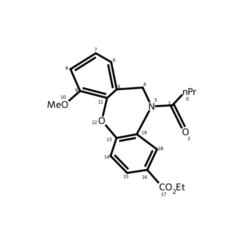 CCCC(=O)N1Cc2cccc(OC)c2Oc2ccc(C(=O)OCC)cc21